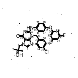 CC(C)(O)Cn1cnc2c1c(=O)nc(Nc1ccc(Oc3cc(F)cc(F)n3)cc1)n2Cc1ccc(Cl)cc1